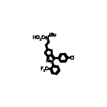 CC(C)(C)N(CCC1Cc2nn(-c3ccccc3C(F)(F)F)c(-c3ccc(Cl)cc3)c2C1)C(=O)O